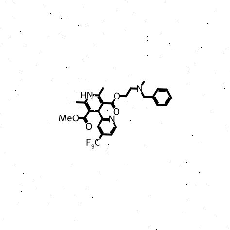 COC(=O)C1=C(C)NC(C)=C(C(=O)OCCN(C)Cc2ccccc2)C1c1cc(C(F)(F)F)ccn1